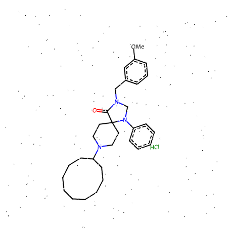 COc1cccc(CN2CN(c3ccccc3)C3(CCN(C4CCCCCCCCC4)CC3)C2=O)c1.Cl